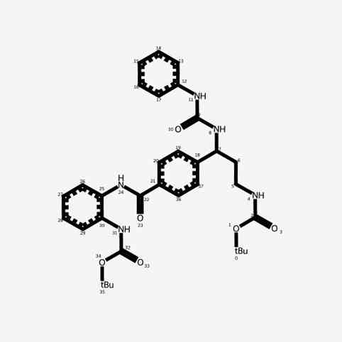 CC(C)(C)OC(=O)NCCC(NC(=O)Nc1ccccc1)c1ccc(C(=O)Nc2ccccc2NC(=O)OC(C)(C)C)cc1